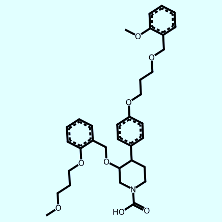 COCCCOc1ccccc1COC1CN(C(=O)O)CCC1c1ccc(OCCCOCc2ccccc2OC)cc1